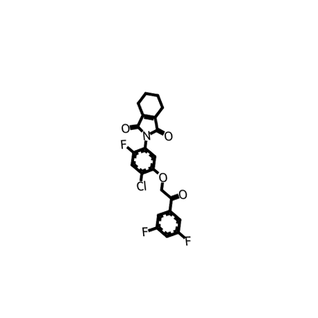 O=C(COc1cc(N2C(=O)C3=C(CCCC3)C2=O)c(F)cc1Cl)c1cc(F)cc(F)c1